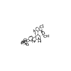 CC(C)(CCNS(C)(=O)=O)C[C@@H]1N[C@@H](C(=O)O)[C@H](c2cccc(Cl)c2F)[C@@]1(C#N)c1ccc(Cl)cc1F